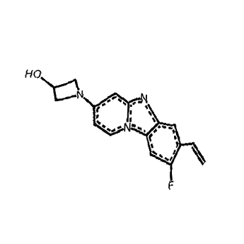 C=Cc1cc2nc3cc(N4CC(O)C4)ccn3c2cc1F